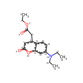 CCOC(=O)Cc1cc(=O)oc2cc(N(CC)CC)ccc12